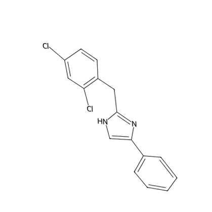 Clc1ccc(Cc2nc(-c3ccccc3)c[nH]2)c(Cl)c1